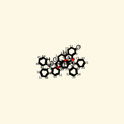 C[C@]12CC[C@H]3[C@@H](CCC4=CC(=O)CC[C@@]43CO[Si](c3ccccc3)(c3ccccc3)c3ccccc3)[C@@H]1CC[C@@H]2O[Si](c1ccccc1)(c1ccccc1)c1ccccc1